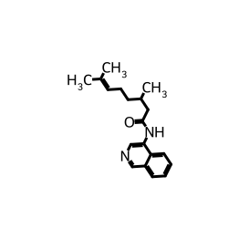 CC(C)=CCCC(C)CC(=O)Nc1cncc2ccccc12